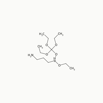 CCO[SiH](CCCN)OC(OCC)(OCC)OCC